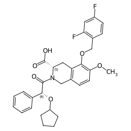 COc1ccc2c(c1OCc1ccc(F)cc1F)C[C@@H](C(=O)O)N(C(=O)[C@H](OC1CCCC1)c1ccccc1)C2